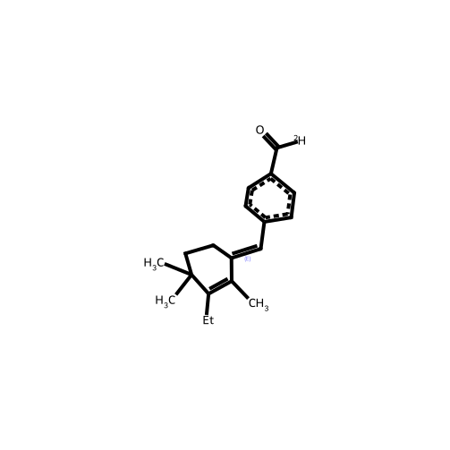 [2H]C(=O)c1ccc(/C=C2\CCC(C)(C)C(CC)=C2C)cc1